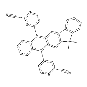 CC1(C)c2ccccc2-c2cc3c(-c4ccnc(C#N)c4)c4ccccc4c(-c4ccnc(C#N)c4)c3cc21